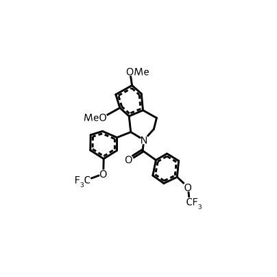 COc1cc2c(c(OC)c1)C(c1cccc(OC(F)(F)F)c1)N(C(=O)c1ccc(OC(F)(F)F)cc1)CC2